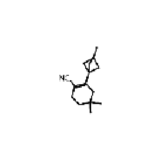 CC1(C)CCC(C#N)=C(C23CC(C)(C2)C3)C1